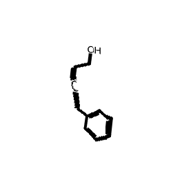 OCC=C=Cc1ccccc1